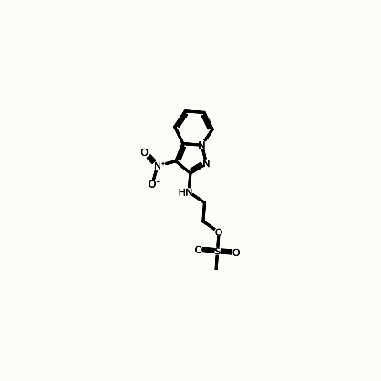 CS(=O)(=O)OCCNc1nn2ccccc2c1[N+](=O)[O-]